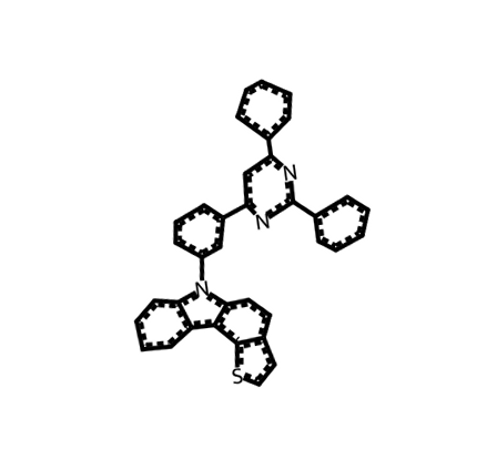 c1ccc(-c2cc(-c3cccc(-n4c5ccccc5c5c6sccc6ccc54)c3)nc(-c3ccccc3)n2)cc1